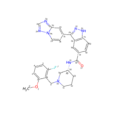 COc1cccc(F)c1CN1CCC[C@@H](NC(=O)c2ccc3[nH]nc(-c4ccn5ncnc5c4)c3c2)C1